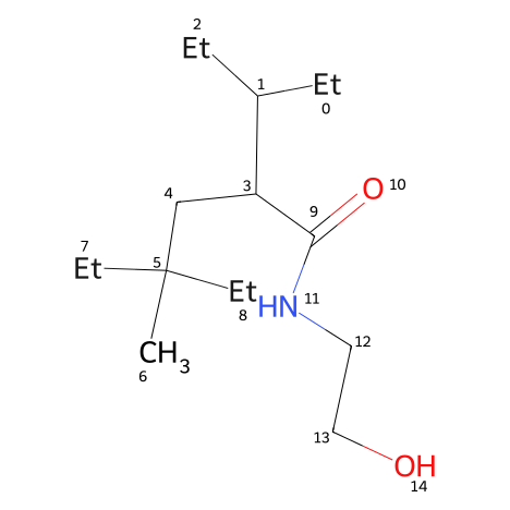 CCC(CC)C(CC(C)(CC)CC)C(=O)NCCO